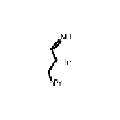 CCCCCC=N.[Ir]